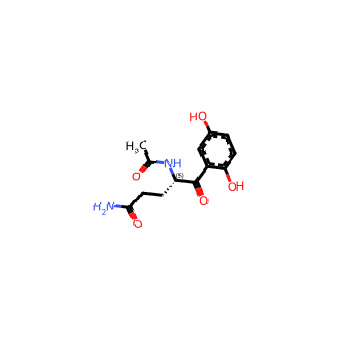 CC(=O)N[C@@H](CCC(N)=O)C(=O)c1cc(O)ccc1O